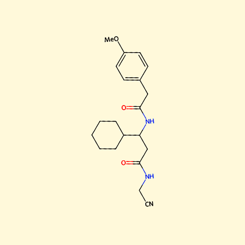 COc1ccc(CC(=O)NC(CC(=O)NCC#N)C2CCCCC2)cc1